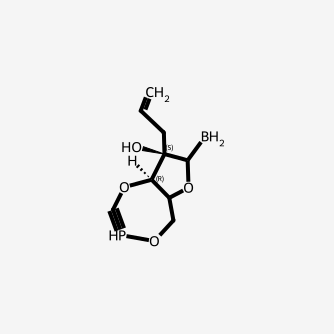 BC1OC2CO[PH]#CO[C@H]2[C@]1(O)CC=C